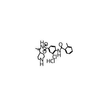 Cc1ccccc1C(=O)Nc1ccc(S(=O)(=O)N[C@H](C)C2CCNCC2)cc1Cl.Cl